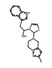 CCCCC(Cc1c[nH]c2ccccc12)N1C=CSC1N1CCn2nc(C)cc2C1